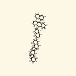 c1ccc2c(-c3c4ccccc4c(-c4ccc5cc(-c6ccc7c(ccc8c9cc%10c(cc9oc78)oc7ccccc7%10)c6)ccc5c4)c4ccccc34)cccc2c1